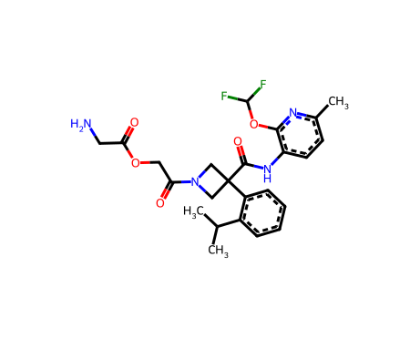 Cc1ccc(NC(=O)C2(c3ccccc3C(C)C)CN(C(=O)COC(=O)CN)C2)c(OC(F)F)n1